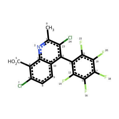 Cc1nc2c(C(=O)O)c(Cl)ccc2c(-c2c(F)c(F)c(F)c(F)c2F)c1Cl